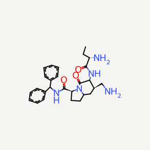 CC[C@H](N)C(=O)N[C@@H]1C(=O)N2C(CC[C@H]2C(=O)NC(c2ccccc2)c2ccccc2)C[C@@H]1CN